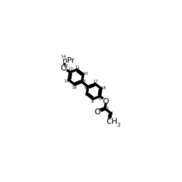 C=CC(=O)Oc1ccc(-c2ccc(OCCC)cc2)cc1